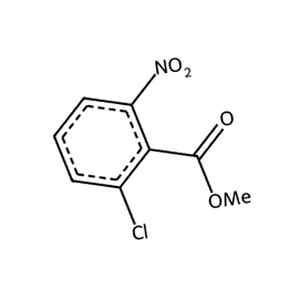 COC(=O)c1c(Cl)cccc1[N+](=O)[O-]